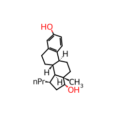 CCC[C@@H]1C[C@H](O)[C@@]2(C)CC[C@@H]3c4ccc(O)cc4CC[C@H]3[C@H]12